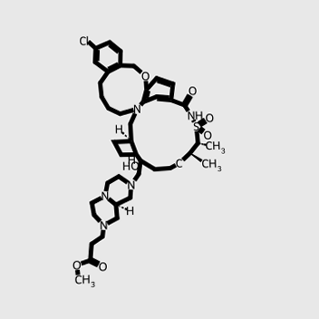 COC(=O)CCN1CCN2CCN(CC3(O)CCC[C@H](C)[C@@H](C)S(=O)(=O)NC(=O)c4ccc5c(c4)N(CCCCc4cc(Cl)ccc4CO5)C[C@@H]4CC[C@H]43)C[C@H]2C1